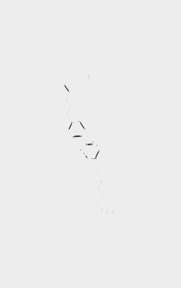 CCCCOCCCCOc1cnc(-c2ccc(CCC/C=C/C(=O)O)cc2)nc1